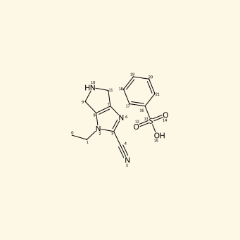 CCn1c(C#N)nc2c1CNC2.O=S(=O)(O)c1ccccc1